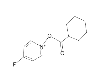 O=C(O[n+]1ccc(F)cc1)C1CCCCC1